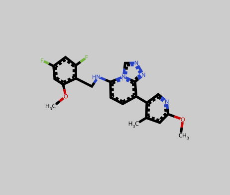 COc1cc(C)c(-c2ccc(NCc3c(F)cc(F)cc3OC)n3cnnc23)cn1